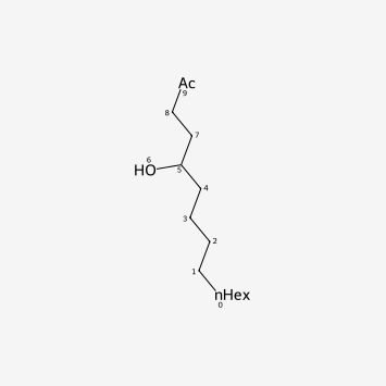 CCCCCCCCCCC(O)CCC(C)=O